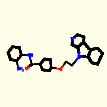 Nc1ccccc1NC(=O)c1ccc(OCCn2c3ccccc3c3ccncc32)cc1